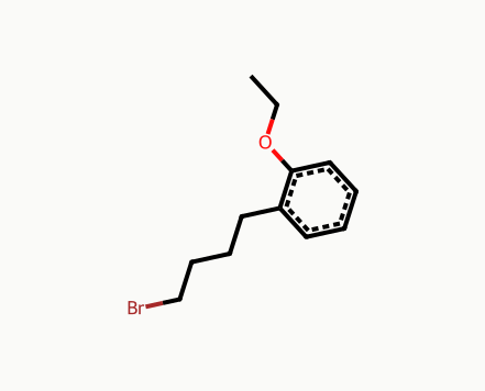 CCOc1ccccc1CCCCBr